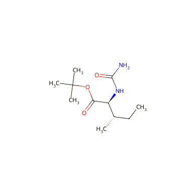 CC[C@H](C)[C@H](NC(N)=O)C(=O)OC(C)(C)C